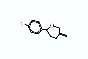 C=C1CCC(c2ccc(Cl)cc2)OC1